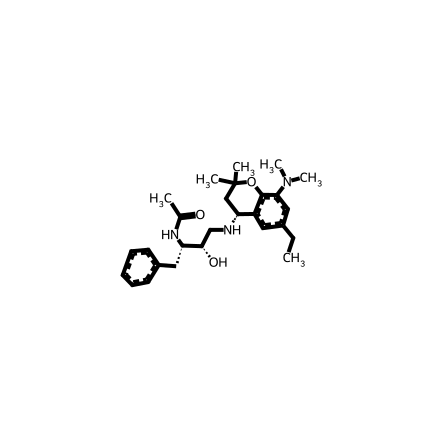 CCc1cc2c(c(N(C)C)c1)OC(C)(C)C[C@H]2NC[C@H](O)[C@H](Cc1ccccc1)NC(C)=O